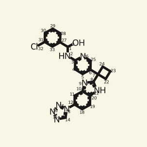 OC(Nc1ccc(C2(c3nc4cc(-n5cnnn5)ccc4[nH]3)CCC2)cn1)c1cccc(Cl)c1